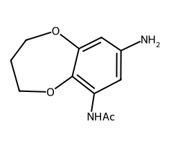 CC(=O)Nc1cc(N)cc2c1OCCCO2